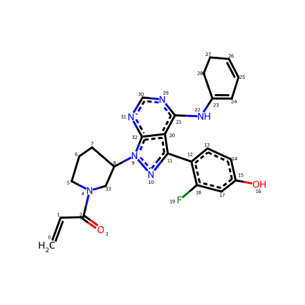 C=CC(=O)N1CCCC(n2nc(-c3ccc(O)cc3F)c3c(NC4=CC=CCC4)ncnc32)C1